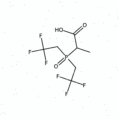 CC(C(=O)O)P(=O)(CC(F)(F)F)CC(F)(F)F